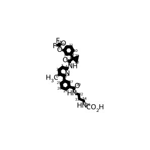 Cc1ccc(NC(=O)C2(c3ccc4c(c3)OC(F)(F)O4)CC2)nc1-c1cccc(C(=O)NCCCNC(=O)O)c1